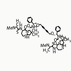 CN[C@@H](C)C(=S)N[C@H]1CCS[C@H]2CC(C)(C)[C@@H](C(=O)N[C@H](COCC#CC#CCOC[C@@H](NC(=O)[C@H]3N4C(=O)[C@@H](NC(=S)[C@H](C)NC)CCS[C@H]4CC3(C)C)c3ccccc3)c3ccccc3)N2C1=O